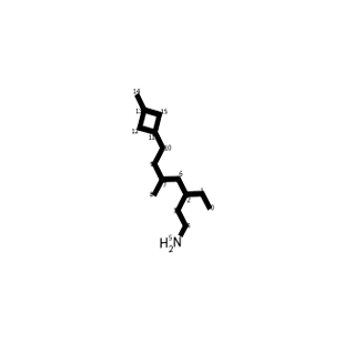 CCC(CCN)CC(C)CCC1CC(C)C1